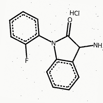 Cl.NC1C(=O)N(c2ccccc2F)c2ccccc21